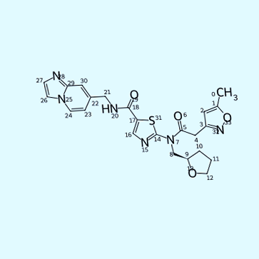 Cc1cc(CC(=O)N(C[C@H]2CCCO2)c2ncc(C(=O)NCc3ccn4ccnc4c3)s2)no1